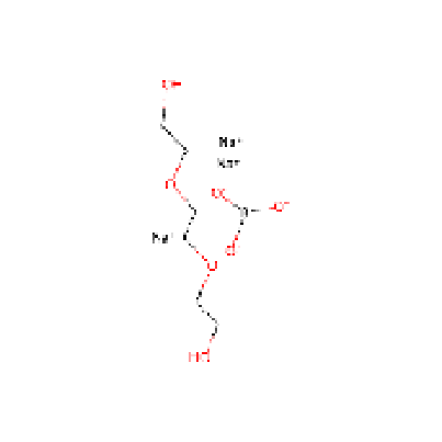 OCCOCCOCCO.[Na+].[Na+].[Na+].[O-]B([O-])[O-]